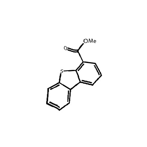 COC(=O)c1cccc2c1sc1ccccc12